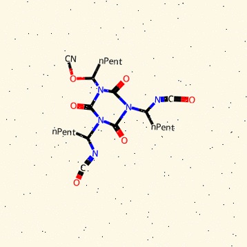 CCCCCC(N=C=O)n1c(=O)n(C(CCCCC)N=C=O)c(=O)n(C(CCCCC)OC#N)c1=O